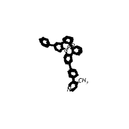 Cc1ccncc1-c1ccc(-c2ccc3c(c2)-c2ccccc2P2(=O)c4ccccc4-c4cc(-c5ccccc5)ccc4N32)cc1